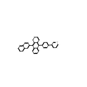 C1=Cc2c(c(-c3ccc4ccccc4c3)c3ccccc3c2-c2ccc(-c3cccnc3)cc2)CC1